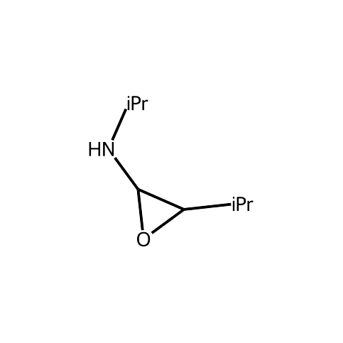 CC(C)NC1OC1C(C)C